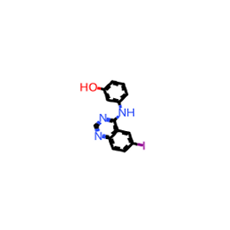 Oc1cccc(Nc2ncnc3ccc(I)cc23)c1